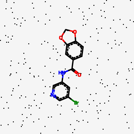 O=C(Nc1cncc(Br)c1)c1ccc2c(c1)OCO2